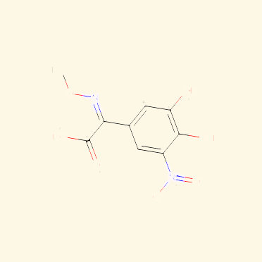 CO/N=C(\C(=O)O)c1cc(O)c(O)c([N+](=O)[O-])c1